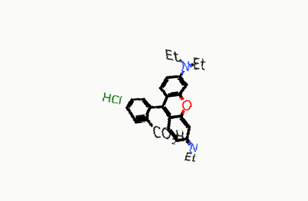 CCN=c1ccc2c(-c3ccccc3C(=O)O)c3ccc(N(CC)CC)cc3oc-2c1.Cl